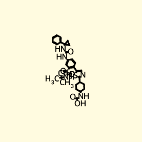 CC(C)(C)NS(=O)(=O)c1cc(NC(=O)NC2(c3ccccc3)CC2)ccc1-c1cnc(C2CCC(NC(=O)O)CC2)s1